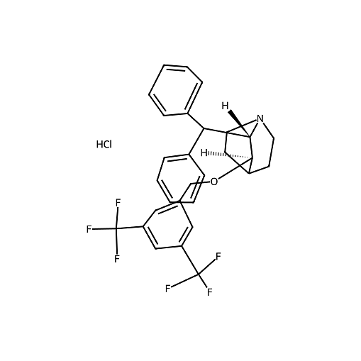 Cl.FC(F)(F)c1cc(CO[C@@H]2C3CCN(CC3)[C@H]2C(c2ccccc2)c2ccccc2)cc(C(F)(F)F)c1